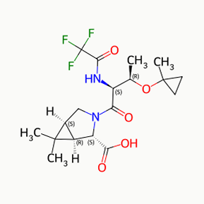 C[C@@H](OC1(C)CC1)[C@H](NC(=O)C(F)(F)F)C(=O)N1C[C@H]2[C@@H]([C@H]1C(=O)O)C2(C)C